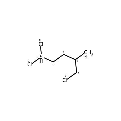 CC(CCl)CC[SiH](Cl)Cl